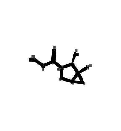 CC(=O)[C@@H]1[C@@H]2CC2CN1C(=O)OC(C)(C)C